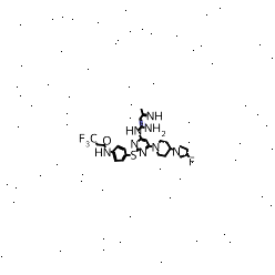 CC(=N)/C=C(\N)Nc1cc(N2CCC(N3CCC(F)C3)CC2)nc(Sc2ccc(NC(=O)CC(F)(F)F)cc2)n1